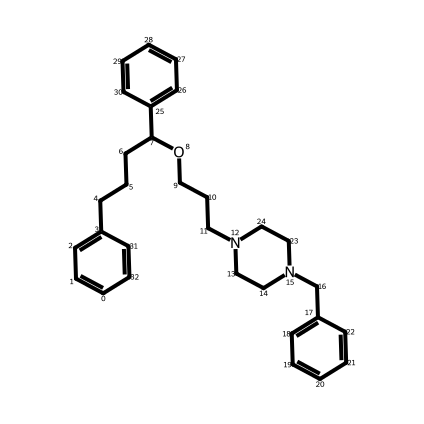 c1ccc(CCCC(OCCCN2CCN(Cc3ccccc3)CC2)c2ccccc2)cc1